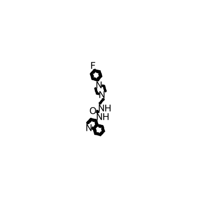 O=C(NCCN1CCN(c2ccc(F)cc2)CC1)Nc1ccnc2ccccc12